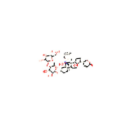 CC1O[C@@H](O[C@H]2CC[C@]3(/C=N/OCC(=O)O)[C@H]4CC[C@]5(C)[C@@H](c6ccc(=O)oc6)CC[C@]5(O)[C@@H]4CC[C@]3(O)C2)C(O)C(O)[C@H]1O[C@@H]1OC(CO)[C@@H](O)C(O)C1O